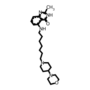 Cc1nc2cccc(NCCCCCCCN3CCC(N4CCOCC4)CC3)c2c(=O)[nH]1